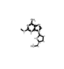 COc1nc(N)c2ncn(C3CC[C@@H](CO)O3)c2n1